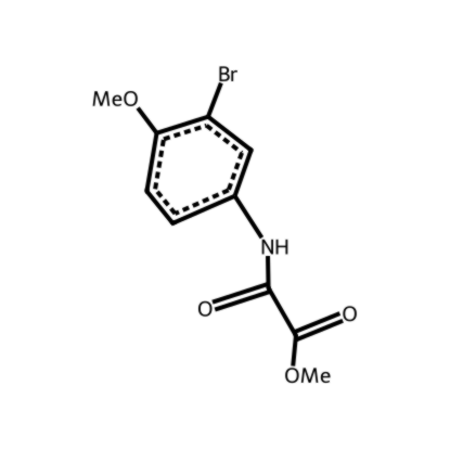 COC(=O)C(=O)Nc1ccc(OC)c(Br)c1